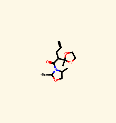 C=CCC(C(=O)N1C(C)COC1C(C)(C)C)C1(C)OCCO1